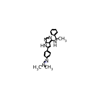 C[C@@H](Nc1ncnc2[nH]c(-c3ccc(/N=C/N(C)C)cc3)cc12)c1ccccc1